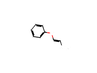 CCOC(=O)/C=C/Oc1ccccc1